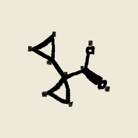 O=C(Cl)C1(C2CC2)CC1